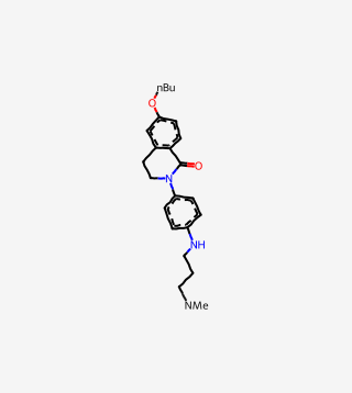 CCCCOc1ccc2c(c1)CCN(c1ccc(NCCCNC)cc1)C2=O